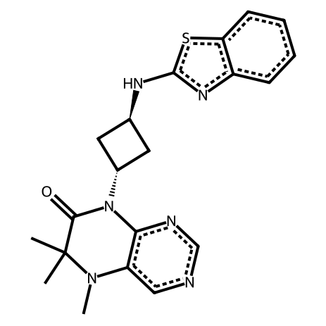 CN1c2cncnc2N([C@H]2C[C@H](Nc3nc4ccccc4s3)C2)C(=O)C1(C)C